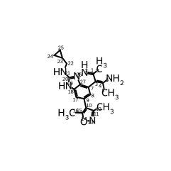 CC(=N)/C(=C(/C)N)c1cc(-c2c(C)noc2C)cc2[nH]c(NCC3CC3)nc12